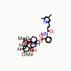 CCN1C[C@]2(OC(=O)c3ccccc3NC(=O)/C=C/c3cc(C)cc(C)n3)CC[C@H](OC)[C@]34C1[C@@H](C[C@H]23)[C@@]1(O)C[C@H](OC)[C@H]2C[C@@H]4[C@]1(O)[C@H]2OC